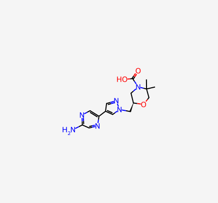 CC1(C)CO[C@@H](Cn2cc(-c3cnc(N)cn3)cn2)CN1C(=O)O